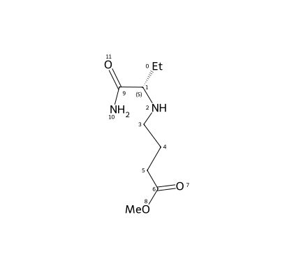 CC[C@H](NCCCC(=O)OC)C(N)=O